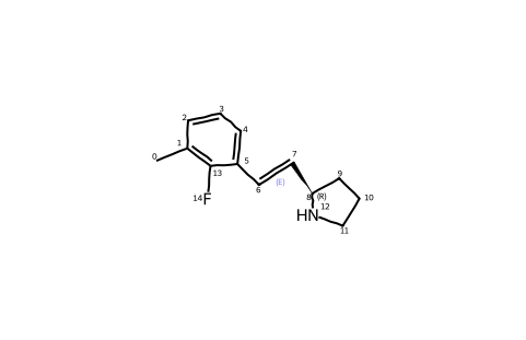 Cc1cccc(/C=C/[C@H]2CCCN2)c1F